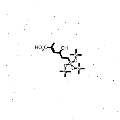 CC(=CC(O)CC[Si](O[Si](C)(C)C)(O[Si](C)(C)C)O[Si](C)(C)C)C(=O)O